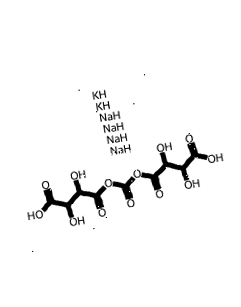 O=C(OC(=O)C(O)C(O)C(=O)O)OC(=O)C(O)C(O)C(=O)O.[KH].[KH].[NaH].[NaH].[NaH].[NaH]